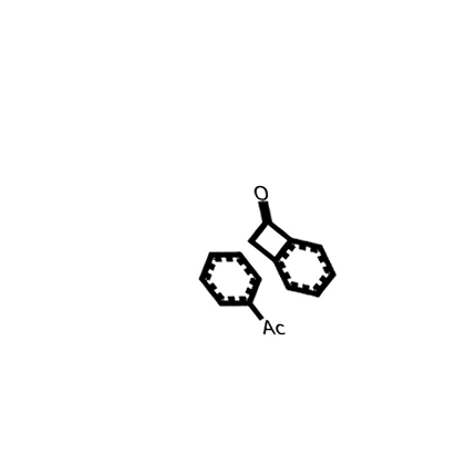 CC(=O)c1ccccc1.O=C1Cc2ccccc21